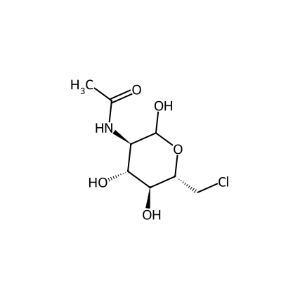 CC(=O)N[C@H]1C(O)O[C@H](CCl)[C@@H](O)[C@@H]1O